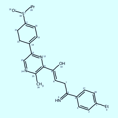 CCc1ccc(C(=N)C/C=C(\O)c2nc(C3=CC=C([S+]([O-])C(C)C)CC3)cnc2C)cc1